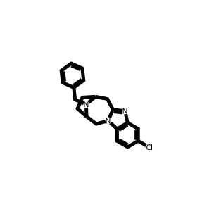 Clc1ccc2c(c1)nc1n2CC2CCC(C1)N2Cc1ccccc1